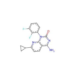 Nc1nc(=O)n(-c2cccc(F)c2F)c2nc(C3CC3)ccc12